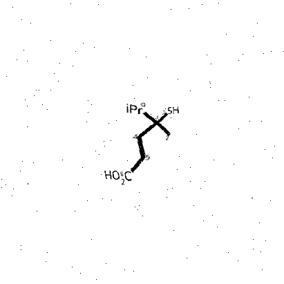 CC(C)C(C)(S)CCC(=O)O